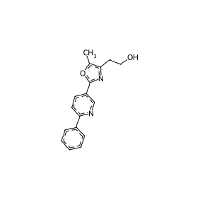 Cc1oc(-c2ccc(-c3ccccc3)nc2)nc1CCO